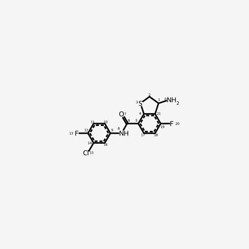 NC1CSc2c(C(=O)Nc3ccc(F)c(Cl)c3)ccc(F)c21